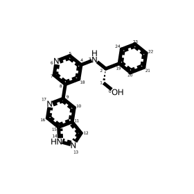 OC[C@H](Nc1cncc(-c2cc3cn[nH]c3cn2)c1)c1ccccc1